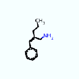 CCCC(=Cc1ccccc1)CN